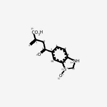 C=C(CC(=O)c1ccc2c(c1)[S+]([O-])CN2)C(=O)O